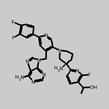 CC(O)c1ccc([C@@]2(N)CCCN(c3cnc(-c4ccc(F)c(F)c4)cc3Cn3cnc4c(N)ncnc43)C2)nc1F